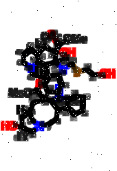 CC[C@]1(O)C[C@@H]2CN(CCC3c4ccccc4NC3[C@@](C(=O)OC)(C3C=C4C(=CC3OC)N(CSCCO)[C@H]3[C@@](O)(C(=O)OC)[C@H](OC(C)=O)[C@]5(CC)C=CCN6CC[C@]43[C@@H]65)C2)C1